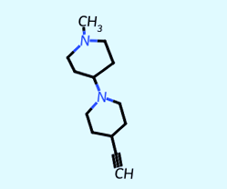 C#CC1CCN(C2CCN(C)CC2)CC1